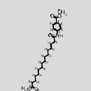 COC(=O)c1ccc(NC(=O)CCCCCCCCCCCCCCC(C)=O)cc1